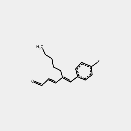 CCCCCC(/C=C/C=O)=C\c1ccc(F)cc1